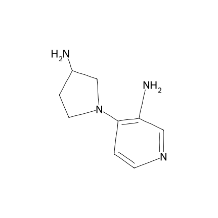 Nc1cnccc1N1CCC(N)C1